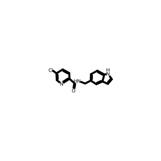 O=C(NCc1ccc2[nH]ccc2c1)c1ccc(Cl)cn1